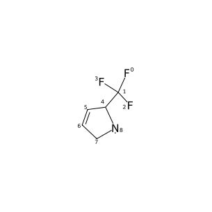 FC(F)(F)C1C=CC[N]1